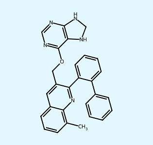 Cc1cccc2cc(COc3ncnc4c3NCN4)c(-c3ccccc3-c3ccccc3)nc12